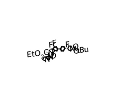 CCOC(=O)[C@@H](c1ncn2c1CCC2)N1Cc2c(cc(-c3ccc([C@H]4CCN(C(=O)OC(C)(C)C)C[C@@H]4F)cc3)cc2C(F)F)C1=O